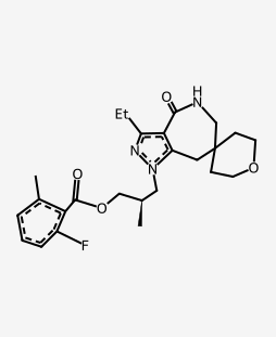 CCc1nn(C[C@@H](C)COC(=O)c2c(C)cccc2F)c2c1C(=O)NCC1(CCOCC1)C2